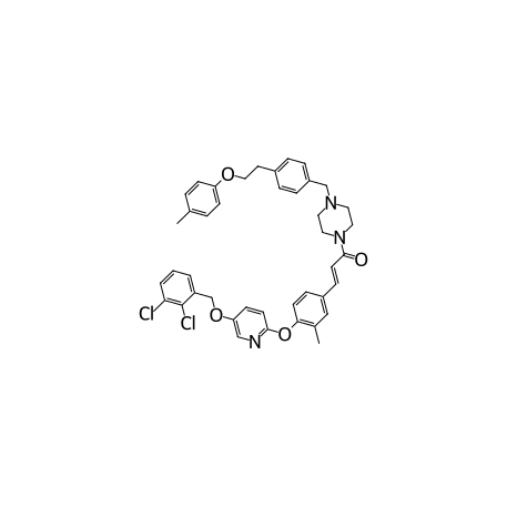 Cc1ccc(OCCc2ccc(CN3CCN(C(=O)C=Cc4ccc(Oc5ccc(OCc6cccc(Cl)c6Cl)cn5)c(C)c4)CC3)cc2)cc1